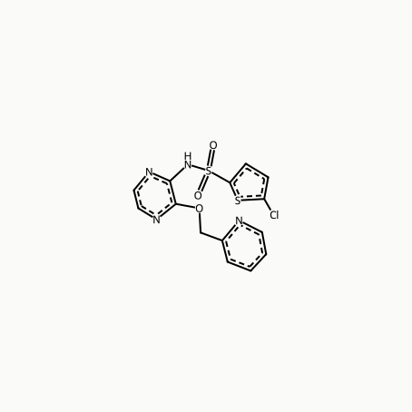 O=S(=O)(Nc1nccnc1OCc1ccccn1)c1ccc(Cl)s1